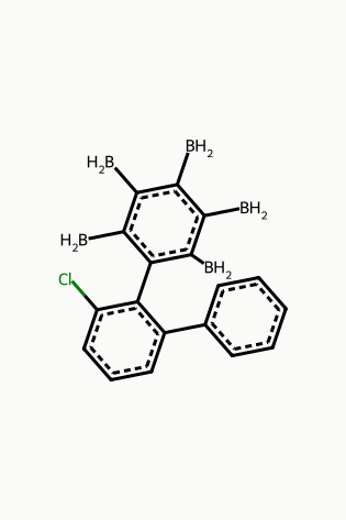 Bc1c(B)c(B)c(-c2c(Cl)cccc2-c2ccccc2)c(B)c1B